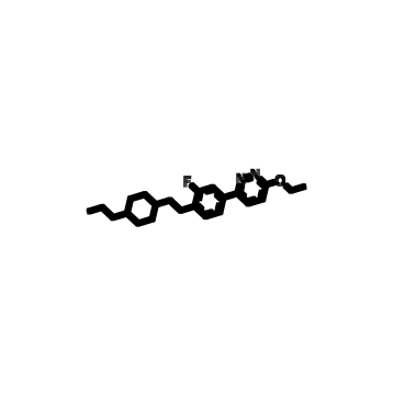 CCCC1CCC(CCc2ccc(-c3ccc(OCC)nn3)cc2F)CC1